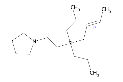 C/C=C/C[Si](CCC)(CCC)CCN1CCCC1